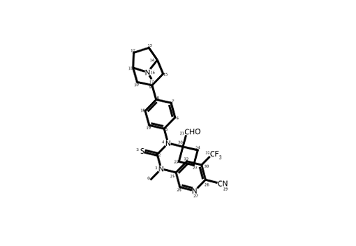 CN(C(=S)N(c1ccc(C2CC3CCC(C2)N3C)cc1)C1(C=O)CCC1)c1cnc(C#N)c(C(F)(F)F)c1